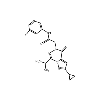 CC(C)c1nn(CC(=O)Nc2cncc(F)c2)c(=O)c2cc(C3CC3)nn12